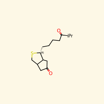 CC(C)C(=O)CCCC[C@H]1SCC2CC(=O)CC21